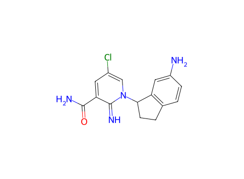 N=c1c(C(N)=O)cc(Cl)cn1C1CCc2ccc(N)cc21